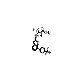 CC(=O)N[C@H](C)CNCc1cnc2c(C3=CCC(C(F)(F)F)CC3)cccc2c1